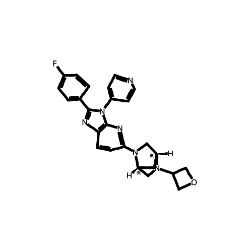 Fc1ccc(-c2nc3ccc(N4C[C@H]5C[C@@H]4CN5C4COC4)nc3n2-c2ccncc2)cc1